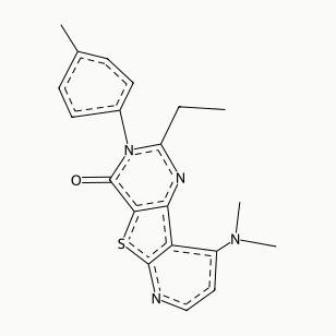 CCc1nc2c(sc3nccc(N(C)C)c32)c(=O)n1-c1ccc(C)cc1